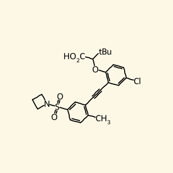 Cc1ccc(S(=O)(=O)N2CCC2)cc1C#Cc1cc(Cl)ccc1OC(C(=O)O)C(C)(C)C